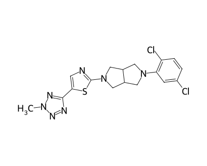 Cn1nnc(-c2cnc(N3CC4CN(c5cc(Cl)ccc5Cl)CC4C3)s2)n1